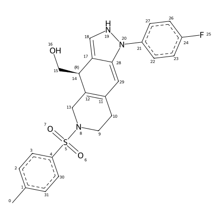 Cc1ccc(S(=O)(=O)N2CCC3=C(C2)[C@@H](CO)C2=CNN(c4ccc(F)cc4)C2=C3)cc1